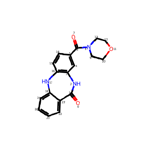 O=C1Nc2cc(C(=O)N3CCOCC3)ccc2Nc2ccccc21